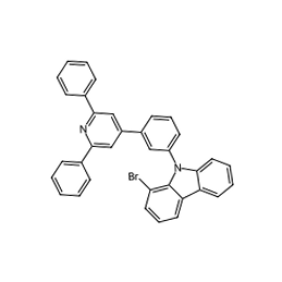 Brc1cccc2c3ccccc3n(-c3cccc(-c4cc(-c5ccccc5)nc(-c5ccccc5)c4)c3)c12